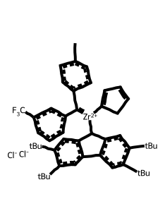 Cc1ccc(/[C](c2cccc(C(F)(F)F)c2)=[Zr+2](\[C]2=CC=CC2)[CH]2c3cc(C(C)(C)C)c(C(C)(C)C)cc3-c3cc(C(C)(C)C)c(C(C)(C)C)cc32)cc1.[Cl-].[Cl-]